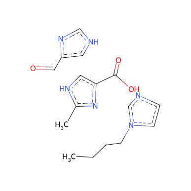 CCCCn1ccnc1.Cc1nc(C(=O)O)c[nH]1.O=Cc1c[nH]cn1